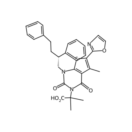 Cc1c(-c2ncco2)sc2c1c(=O)n(C(C)(C)C(=O)O)c(=O)n2C[C@H](CCc1ccccc1)c1ccccc1